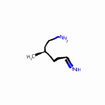 C[C@@H](CN)CC=N